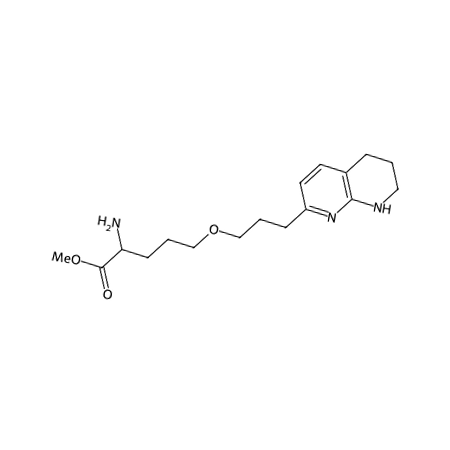 COC(=O)C(N)CCCOCCCc1ccc2c(n1)NCCC2